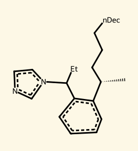 CCCCCCCCCCCCC[C@H](C)c1ccccc1C(CC)n1ccnc1